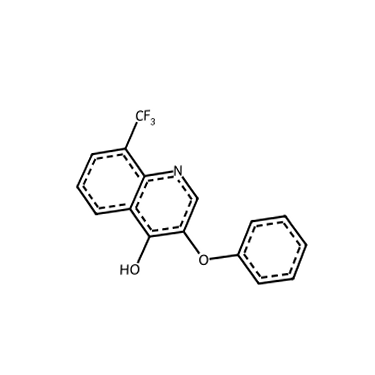 Oc1c(Oc2ccccc2)cnc2c(C(F)(F)F)cccc12